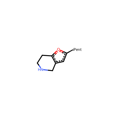 CCCC(C)c1cc2c(o1)CCNC2